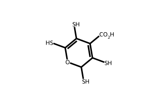 O=C(O)C1=C(S)C(S)OC(S)=C1S